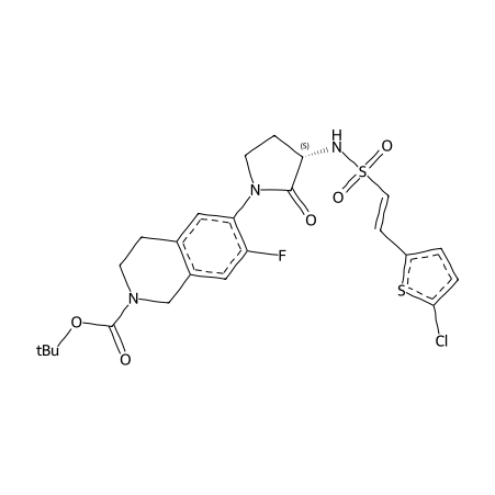 CC(C)(C)OC(=O)N1CCc2cc(N3CC[C@H](NS(=O)(=O)C=Cc4ccc(Cl)s4)C3=O)c(F)cc2C1